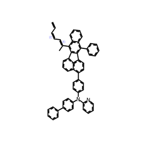 C=C/C=C\C=C(/C)c1c2c(c(-c3ccccc3)c3ccccc13)-c1ccc(-c3ccc(N(c4ccc(-c5ccccc5)cc4)c4ccccn4)cc3)c3cccc-2c13